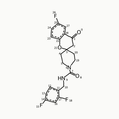 O=C1CC2(CCN(C(=O)NCc3ccc(F)cc3F)CC2)Oc2ccc(F)cc21